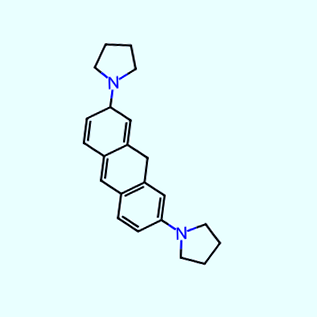 C1=CC(N2CCCC2)C=C2Cc3cc(N4CCCC4)ccc3C=C12